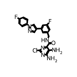 Nc1nc(Cl)nc(C(=O)NCc2cc(F)cc(-c3cnn(-c4ccc(F)cc4)c3)c2)c1N